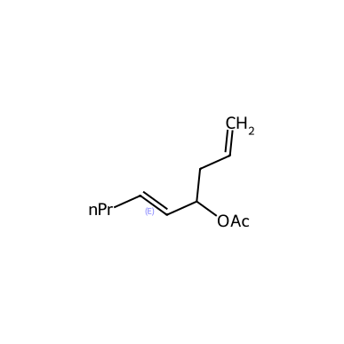 C=CCC(/C=C/CCC)OC(C)=O